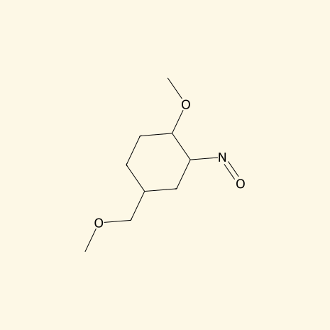 COCC1CCC(OC)C(N=O)C1